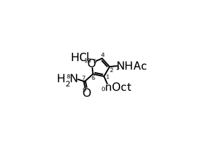 CCCCCCCCc1c(NC(C)=O)coc1C(N)=O.Cl